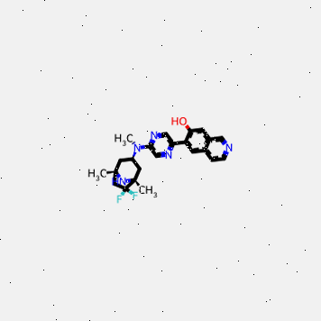 CN(c1cnc(-c2cc3ccncc3cc2O)cn1)[C@@H]1C[C@@]2(C)CC(F)(F)[C@@](C)(C1)N2